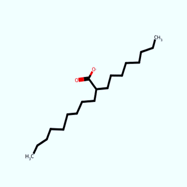 CCCCCCCCCC(CCCCCCCC)C([O])=O